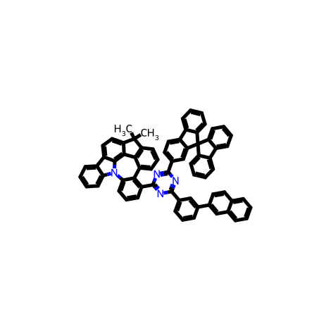 CC1(C)c2cccc3c2-c2c1ccc1c4ccccc4n(c21)-c1cccc(-c2nc(-c4cccc(-c5ccc6ccccc6c5)c4)nc(-c4ccc5c(c4)C4(c6ccccc6-c6ccccc64)c4ccccc4-5)n2)c1-3